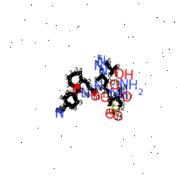 CC(C)(O)c1cnnn1[C@H]1C[C@@H](C(=O)NC2(C(=O)C(N)=O)CCS(=O)(=O)CC2)N(C(=O)/C(CC2CCCCC2)=N/C(=O)c2ccc(C#N)cc2)C1